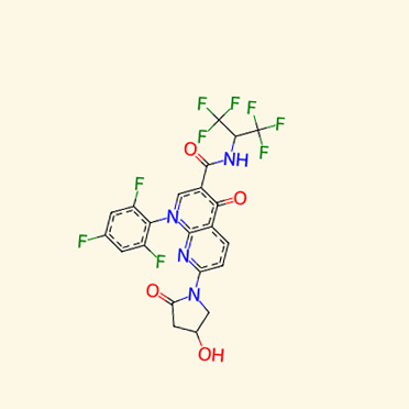 O=C(NC(C(F)(F)F)C(F)(F)F)c1cn(-c2c(F)cc(F)cc2F)c2nc(N3CC(O)CC3=O)ccc2c1=O